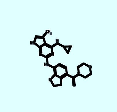 O=C(c1ccc(Nc2nc(NC3CC3)c3c(C(F)(F)F)c[nH]c3n2)c2c1CCO2)N1CCOCC1